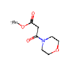 CC(C)(C)OC(=O)CC(=O)N1CCOCC1